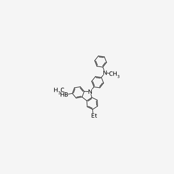 CBc1ccc2c(c1)c1cc(CC)ccc1n2-c1ccc(N(C)c2ccccc2)cc1